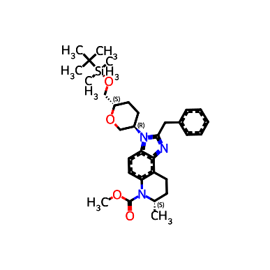 COC(=O)N1c2ccc3c(nc(Cc4ccccc4)n3[C@@H]3CC[C@@H](CO[Si](C)(C)C(C)(C)C)OC3)c2CC[C@@H]1C